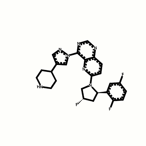 Fc1ccc(F)c([C@H]2C[C@H](F)CN2c2ccc3ncnc(-n4cc(C5CCNCC5)cn4)c3n2)c1